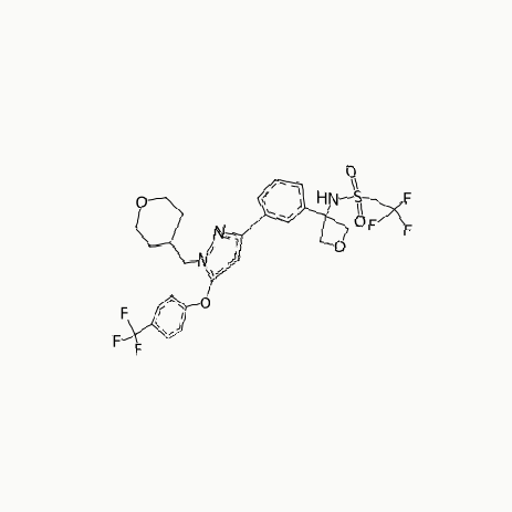 O=S(=O)(CC(F)(F)F)NC1(c2cccc(-c3cc(Oc4ccc(C(F)(F)F)cc4)n(CC4CCOCC4)n3)c2)COC1